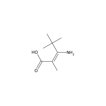 CC(C(=O)O)=C(N)C(C)(C)C